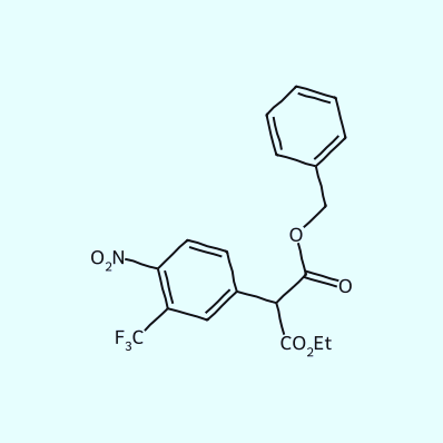 CCOC(=O)C(C(=O)OCc1ccccc1)c1ccc([N+](=O)[O-])c(C(F)(F)F)c1